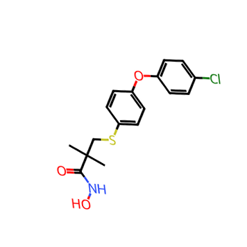 CC(C)(CSc1ccc(Oc2ccc(Cl)cc2)cc1)C(=O)NO